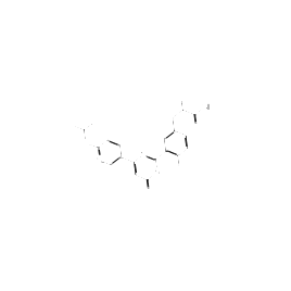 CCC(Cc1ccc(Cl)c(-c2nc(-c3ccc(OC(F)F)nc3)cc(=O)[nH]2)c1)C(N)=O